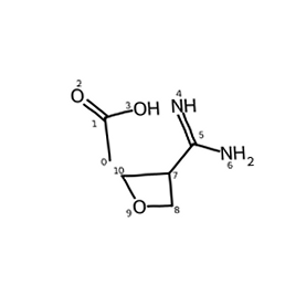 CC(=O)O.N=C(N)C1COC1